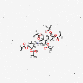 C=C(C)C(=O)Oc1ccc(/C=C/c2cc(OC(=O)C(=C)C)c(-c3ccc(OC(=O)C(=C)C)c(OC(=O)C(=C)C)c3)c(C)c2OC(=O)C(=C)C)cc1OC(=O)C(=C)C